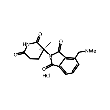 CNCc1cccc2c1C(=O)N([C@@]1(C)CCC(=O)NC1=O)C2=O.Cl